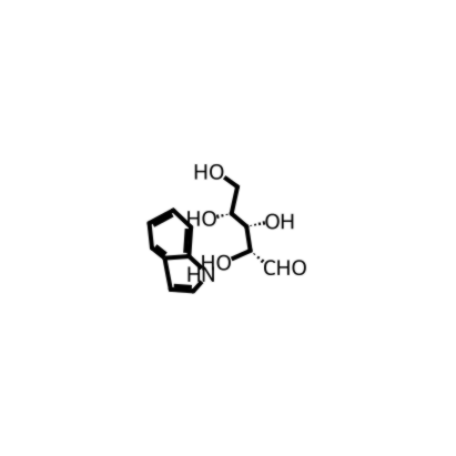 O=C[C@H](O)[C@@H](O)[C@H](O)CO.c1ccc2[nH]ccc2c1